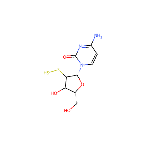 Nc1ccn([C@@H]2O[C@H](CO)C(O)C2SS)c(=O)n1